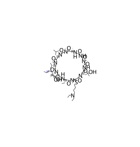 C/C=C/C[C@@H](C)[C@@H](O)[C@H]1C(=O)N[C@@H](CC)C(=O)N(C)[C@H](SCCCCN(CC)CC)C(=O)N(C)[C@@H](CC(C)(C)O)C(=O)NC(=O)N(C)C(=O)NC(=O)N[C@@H](C)C(=O)N(C)C(=O)N(C)[C@@H](CC(C)C)C(=O)N(C)[C@@H](C(C)C)C(=O)N1C